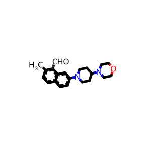 Cc1ccc2ccc(N3CCC(N4CCOCC4)CC3)cc2c1C=O